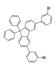 Brc1cccc(-c2ccc3c(c2)-c2cc(-c4cccc(Br)c4)ccc2C3(c2ccccc2)c2ccccc2)c1